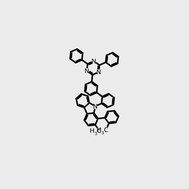 Cc1ccccc1-c1c(C)ccc2c3ccccc3n(-c3ccccc3-c3cccc(-c4nc(-c5ccccc5)nc(-c5ccccc5)n4)c3)c12